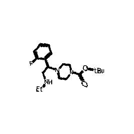 CCNCC(c1ccccc1F)N1CCN(C(=O)OC(C)(C)C)CC1